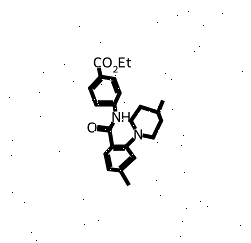 CCOC(=O)c1ccc(NC(=O)c2ccc(C)cc2N2CCC(C)CC2)cc1